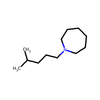 CC(C)CCCN1CCCCCC1